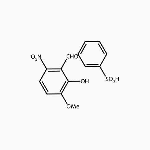 COc1ccc([N+](=O)[O-])c(C=O)c1O.O=S(=O)(O)c1ccccc1